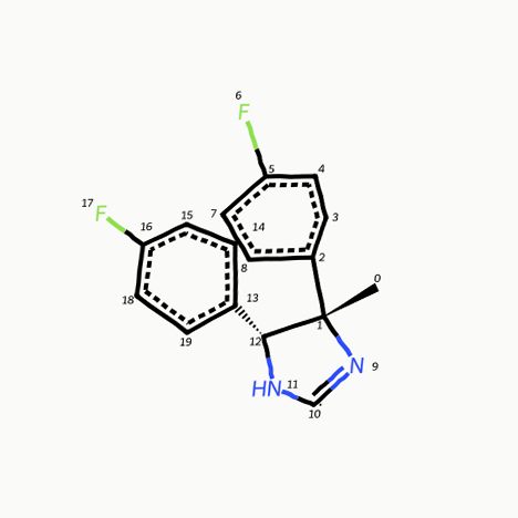 C[C@@]1(c2ccc(F)cc2)N=[C]N[C@@H]1c1ccc(F)cc1